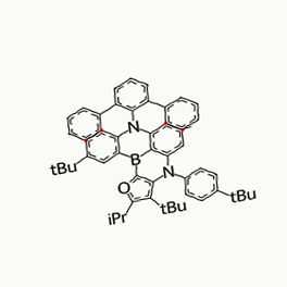 Cc1cc2c3c(c1)N(c1c(-c4ccccc4)cccc1-c1ccccc1)c1ccc(C(C)(C)C)cc1B3c1oc(C(C)C)c(C(C)(C)C)c1N2c1ccc(C(C)(C)C)cc1